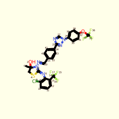 CC1(O)CSC(=Nc2c(Cl)cccc2C(F)(F)F)N1N=Cc1ccc(-c2ncn(-c3ccc(OC(F)(F)F)cc3)n2)cc1